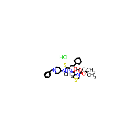 CN(C(=S)[C@@H](CCC1CCCCC1)NC(=O)[C@@H]1CSCN1C(=O)OC(C)(C)C)C1CCN(Cc2ccccc2)CC1.Cl